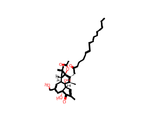 CCCCCCCCCCCCCC(=O)C[C@@H]1[C@@H](C)[C@@]2(O)[C@@H](C=C(CO)C[C@]3(O)C(=O)C(C)=C[C@@H]23)[C@@H]2C(C)(C)[C@]12OC(C)=O